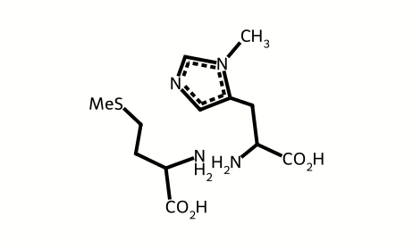 CSCCC(N)C(=O)O.Cn1cncc1CC(N)C(=O)O